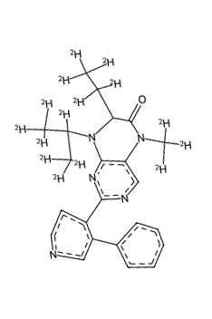 [2H]C([2H])([2H])N1C(=O)C(C([2H])([2H])C([2H])([2H])[2H])N(C([2H])(C([2H])([2H])[2H])C([2H])([2H])[2H])c2nc(-c3ccncc3-c3ccccc3)ncc21